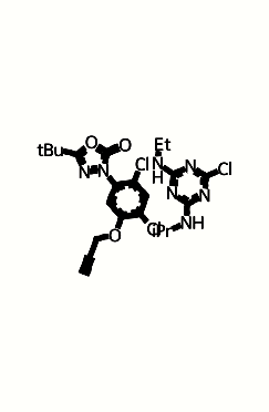 C#CCOc1cc(-n2nc(C(C)(C)C)oc2=O)c(Cl)cc1Cl.CCNc1nc(Cl)nc(NC(C)C)n1